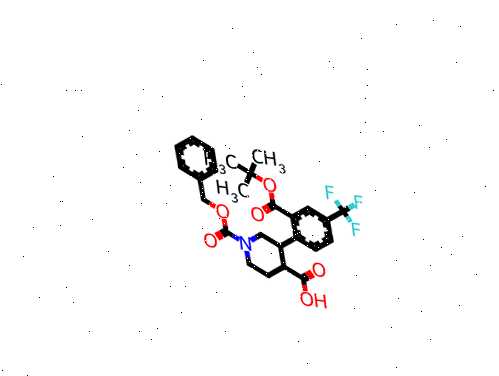 CC(C)(C)OC(=O)c1cc(C(F)(F)F)ccc1C1CN(C(=O)OCc2ccccc2)CCC1C(=O)O